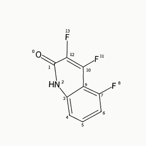 O=c1[nH]c2cccc(F)c2c(F)c1F